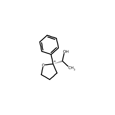 CC(O)[C@]1(c2ccccc2)CCCO1